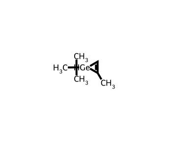 C[C]1=[CH][GeH]1[C](C)(C)C